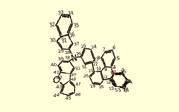 c1ccc(-c2ccccc2-c2c(-c3ccccc3)cccc2-c2cccc(N(c3ccc4ccccc4c3)c3ccc4oc5ccccc5c4c3)c2)cc1